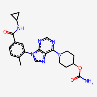 Cc1ccc(C(=O)NC2CC2)cc1-n1cnc2c(N3CCC(OC(N)=O)CC3)ncnc21